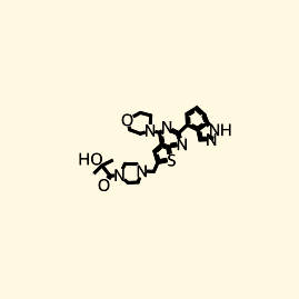 CC(C)(O)C(=O)N1CCN(Cc2cc3c(N4CCOCC4)nc(-c4cccc5[nH]ncc45)nc3s2)CC1